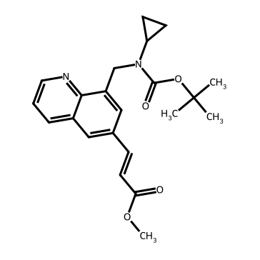 COC(=O)C=Cc1cc(CN(C(=O)OC(C)(C)C)C2CC2)c2ncccc2c1